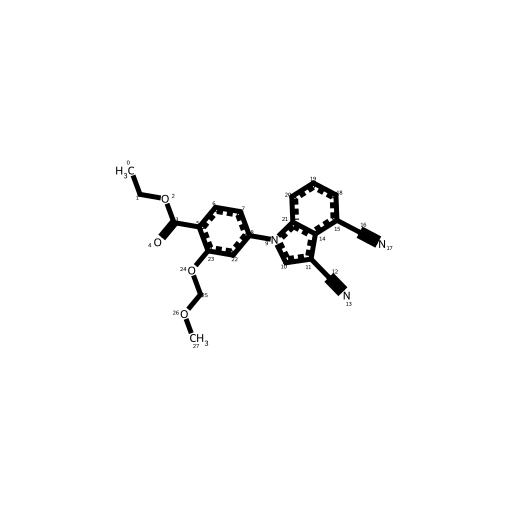 CCOC(=O)c1ccc(-n2cc(C#N)c3c(C#N)cccc32)cc1OCOC